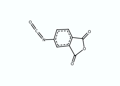 O=C=Nc1ccc2c(c1)C(=O)OC2=O